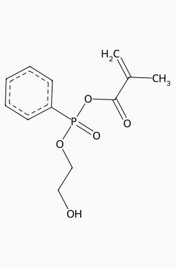 C=C(C)C(=O)OP(=O)(OCCO)c1ccccc1